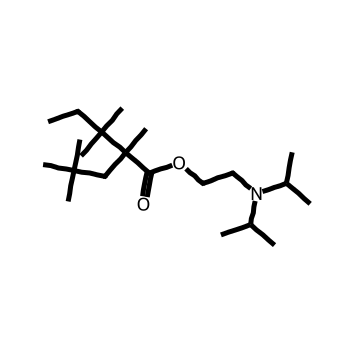 CCC(C)(C)C(C)(CC(C)(C)C)C(=O)OCCN(C(C)C)C(C)C